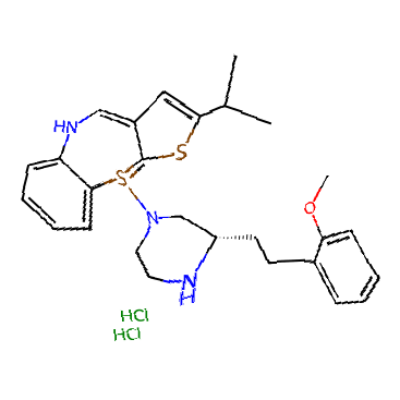 COc1ccccc1CC[C@H]1CN(S2=c3sc(C(C)C)cc3=CNc3ccccc32)CCN1.Cl.Cl